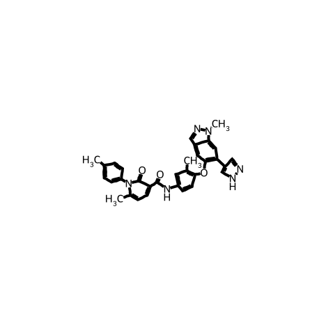 Cc1ccc(-n2c(C)ccc(C(=O)Nc3ccc(Oc4cc5cnn(C)c5cc4-c4cn[nH]c4)c(C)c3)c2=O)cc1